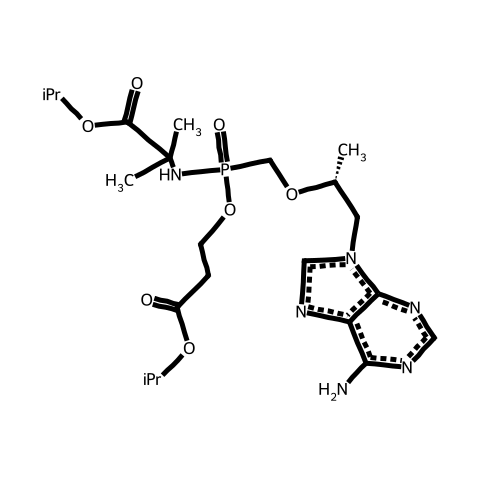 CC(C)OC(=O)CCOP(=O)(CO[C@H](C)Cn1cnc2c(N)ncnc21)NC(C)(C)C(=O)OC(C)C